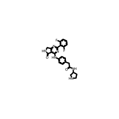 O=C(Cc1ccc(Nc2nc(-c3c(F)cccc3F)nc3c2C(=O)NC3)cc1)NC1CCNC1